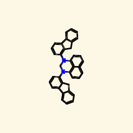 c1ccc(N(CN(c2ccccc2)c2cccc3c2Cc2ccccc2-3)c2cccc3c2Cc2ccccc2-3)cc1